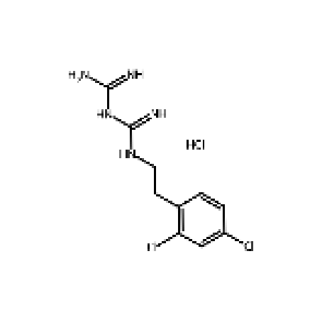 Cl.N=C(N)NC(=N)NCCc1ccc(Cl)cc1Cl